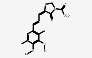 CCOc1c(C)cc(C=CC=C2SCN(C(=S)C(=O)O)C2=O)c(C)c1OCC